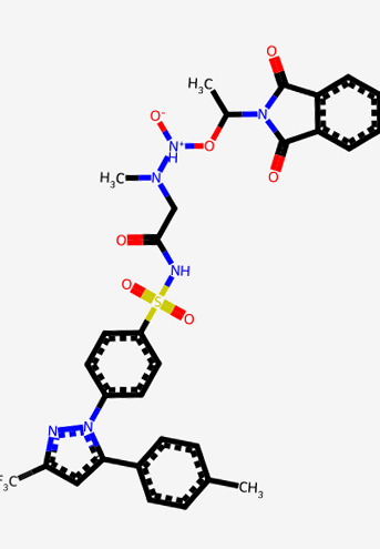 Cc1ccc(-c2cc(C(F)(F)F)nn2-c2ccc(S(=O)(=O)NC(=O)CN(C)[NH+]([O-])OC(C)N3C(=O)c4ccccc4C3=O)cc2)cc1